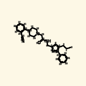 CCCc1cc(CNC(=O)CN2CCN(c3ccccc3C#N)CC2)nn1-c1ccccc1